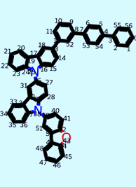 c1ccc(-c2ccc(-c3cccc(-c4ccc5c(c4)c4ccccc4n5-c4ccc5c(c4)c4ccccc4n5-c4ccc5oc6ccccc6c5c4)c3)cc2)cc1